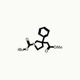 COC(=O)CC1(c2ccccc2)CCN(C(=O)OC(C)(C)C)C1